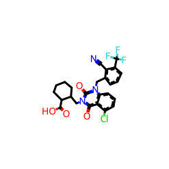 N#Cc1c(Cn2c(=O)n(CC3CCCCC3C(=O)O)c(=O)c3c(Cl)cccc32)cccc1C(F)(F)F